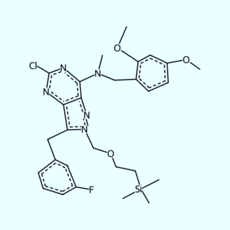 COc1ccc(CN(C)c2nc(Cl)nc3c(Cc4cccc(F)c4)n(COCC[Si](C)(C)C)nc23)c(OC)c1